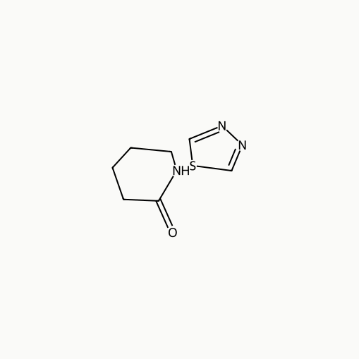 O=C1CCCCN1.c1nncs1